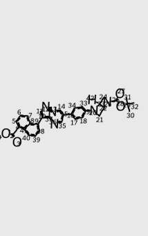 COC(=O)c1cccc2c(-c3cnn4cc(-c5ccc(N6CC7[C@H]6CN7C(=O)OC(C)(C)C)cc5)cnc34)cccc12